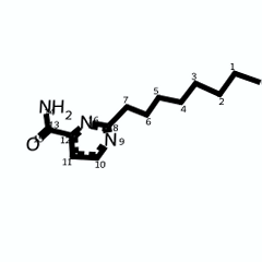 CCCCCCCCc1nccc(C(N)=O)n1